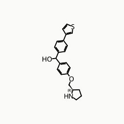 OC(c1ccc(OC[C@H]2CCCN2)cc1)c1ccc(-c2ccsc2)cc1